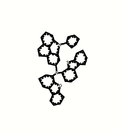 c1ccc(-n2c3cccc4ccc5cc(N(c6cccc7c6oc6ccccc67)c6cccc7c6sc6ccccc67)cc2c5c43)cc1